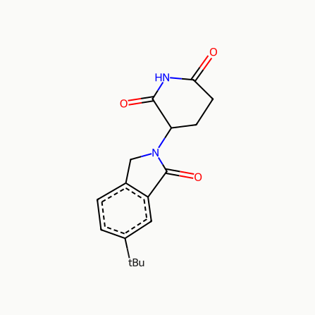 CC(C)(C)c1ccc2c(c1)C(=O)N(C1CCC(=O)NC1=O)C2